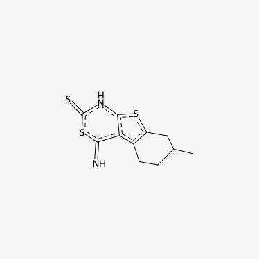 CC1CCc2c(sc3[nH]c(=S)sc(=N)c23)C1